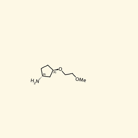 COCCO[C@@H]1CC[C@@H](N)C1